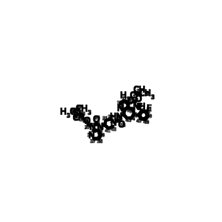 CC(C)(C)OC(=O)N[C@@H]1c2cccnc2[C@H](NC(=O)N2CCC(n3c(=O)n(COCC[Si](C)(C)C)c4ncccc43)CC2)CC[C@H]1c1cccc(F)c1F